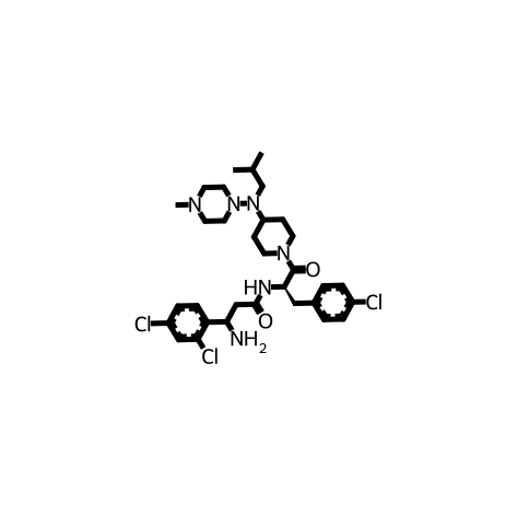 CC(C)CN(C1CCN(C(=O)[C@@H](Cc2ccc(Cl)cc2)NC(=O)CC(N)c2ccc(Cl)cc2Cl)CC1)N1CCN(C)CC1